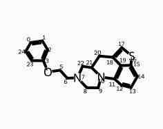 c1ccc(OCCN2CCN3c4cccc5scc(c45)CC3C2)cc1